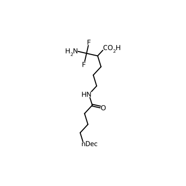 CCCCCCCCCCCCCC(=O)NCCCC(C(=O)O)C(N)(F)F